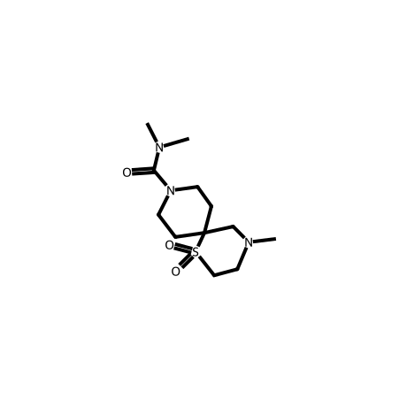 CN1CCS(=O)(=O)C2(CCN(C(=O)N(C)C)CC2)C1